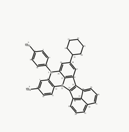 CC(C)(C)c1ccc(N2c3cc(C(C)(C)C)ccc3B3C4=C(c5cc(C6CCCCC6)cc2c53)c2cccc3cccc4c23)cc1